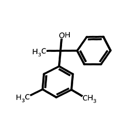 Cc1cc(C)cc(C(C)(O)c2ccccc2)c1